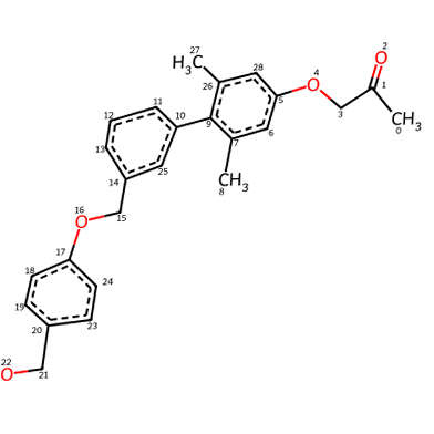 CC(=O)COc1cc(C)c(-c2cccc(COc3ccc(CO)cc3)c2)c(C)c1